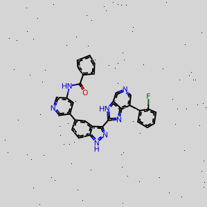 O=C(Nc1cncc(-c2ccc3[nH]nc(-c4nc5c(-c6ccccc6F)cncc5[nH]4)c3c2)c1)c1ccccc1